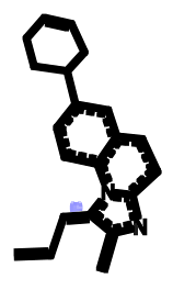 C=C/C=c1\c(=C)nc2ccc3cc(C4CC=CCC4)ccc3n12